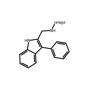 CCCCCCCNCc1[nH]c2ccccc2c1-c1ccccc1